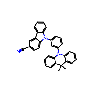 CC1(C)c2ccccc2N(c2cccc(-n3c4ccccc4c4cc(C#N)ccc43)c2)c2ccccc21